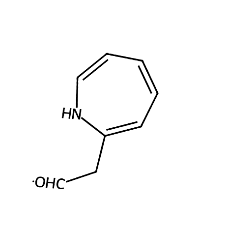 O=[C]CC1=CC=CC=CN1